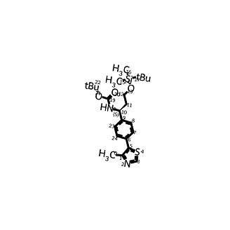 Cc1ncsc1-c1ccc([C@H](CCO[Si](C)(C)C(C)(C)C)NC(=O)OC(C)(C)C)cc1